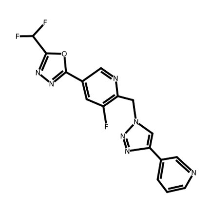 Fc1cc(-c2nnc(C(F)F)o2)cnc1Cn1cc(-c2cccnc2)nn1